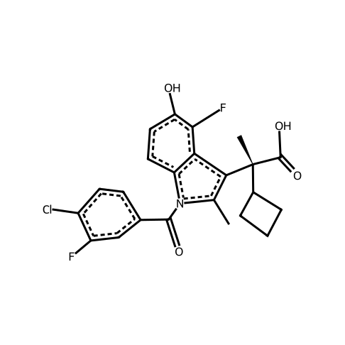 Cc1c([C@](C)(C(=O)O)C2CCC2)c2c(F)c(O)ccc2n1C(=O)c1ccc(Cl)c(F)c1